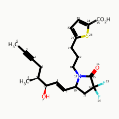 CC#CC[C@H](C)[C@H](O)/C=C/C1CC(F)(F)C(=O)N1CCCc1ccc(C(=O)O)s1